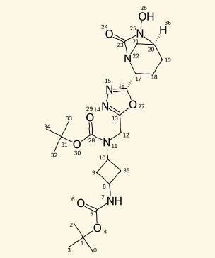 CC(C)(C)OC(=O)NC1CC(N(Cc2nnc([C@H]3CC[C@H]4CN3C(=O)N4O)o2)C(=O)OC(C)(C)C)C1